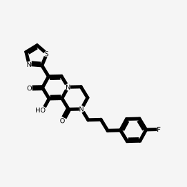 O=C1c2c(O)c(=O)c(-c3nccs3)cn2CCN1CCCc1ccc(F)cc1